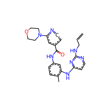 C=CCNc1nccc(Nc2cc(NC(=O)c3ccnc(N4CCOCC4)c3)ccc2C)n1